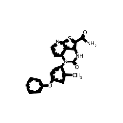 Cc1cc(Oc2ccccc2)ccc1N1C(=O)Nc2c(C(N)=O)sc3nccc1c23